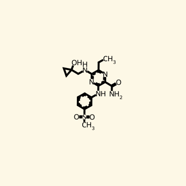 CCc1nc(C(N)=O)c(Nc2cccc(S(C)(=O)=O)c2)nc1NCC1(O)CC1